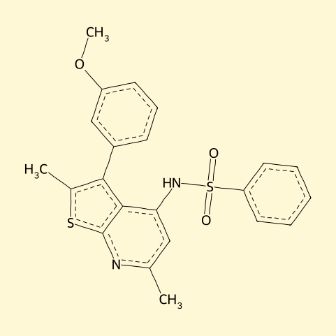 COc1cccc(-c2c(C)sc3nc(C)cc(NS(=O)(=O)c4ccccc4)c23)c1